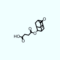 O=C(O)CCC(=O)OC1C2CC3CC(C2)C(=O)OC1C3